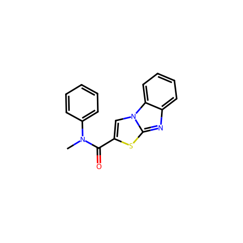 CN(C(=O)c1cn2c(nc3ccccc32)s1)c1ccccc1